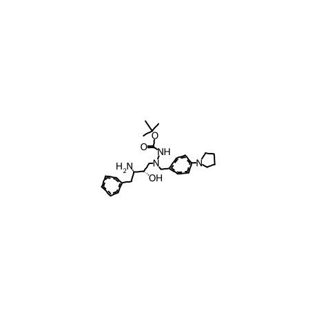 CC(C)(C)OC(=O)NN(Cc1ccc(N2CCCC2)cc1)C[C@H](O)[C@@H](N)Cc1ccccc1